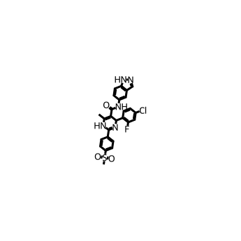 CC1=C(C(=O)Nc2ccc3[nH]ncc3c2)C(c2ccc(Cl)cc2F)N=C(c2ccc(S(C)(=O)=O)cc2)N1